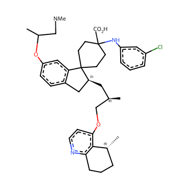 CNCC(C)Oc1ccc2c(c1)C1(CCC(Nc3cccc(Cl)c3)(C(=O)O)CC1)[C@@H](C[C@@H](C)COc1ccnc3c1[C@H](C)CCC3)C2